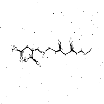 CSCCC(=O)CC(=O)CCSCC(CC(=O)O)C(=O)O